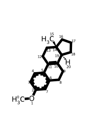 COc1ccc2c(c1)CCC1=C2CC[C@]2(C)CCC[C@@H]12